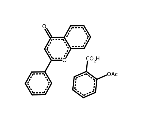 CC(=O)Oc1ccccc1C(=O)O.O=c1cc(-c2ccccc2)oc2ccccc12